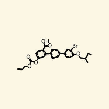 C=CCOC(=O)Oc1ccc(C(=O)O)c(-c2ccc(-c3ccc(OCC(C)CC)c(Br)c3)cc2)c1